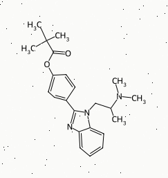 CC(Cn1c(-c2ccc(OC(=O)C(C)(C)C)cc2)nc2ccccc21)N(C)C